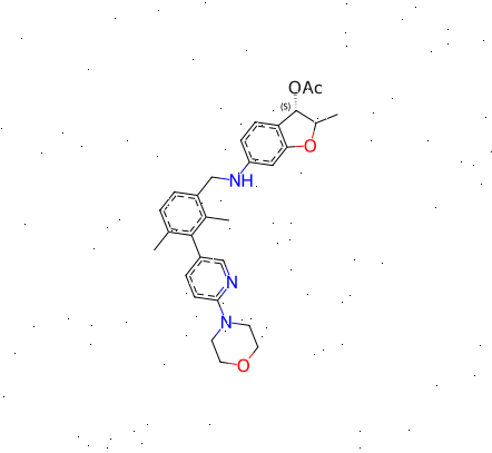 CC(=O)O[C@H]1c2ccc(NCc3ccc(C)c(-c4ccc(N5CCOCC5)nc4)c3C)cc2OC1C